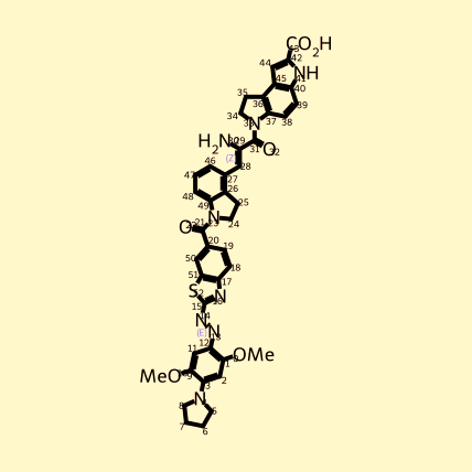 COc1cc(N2CCCC2)c(OC)cc1/N=N/c1nc2ccc(C(=O)N3CCc4c(/C=C(\N)C(=O)N5CCc6c5ccc5[nH]c(C(=O)O)cc65)cccc43)cc2s1